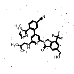 CC(C)CNc1cc(-c2cc(C#N)ccc2-c2nncn2C)cc(N2Cc3c(cc(CO)cc3C(F)(F)F)C2=O)n1